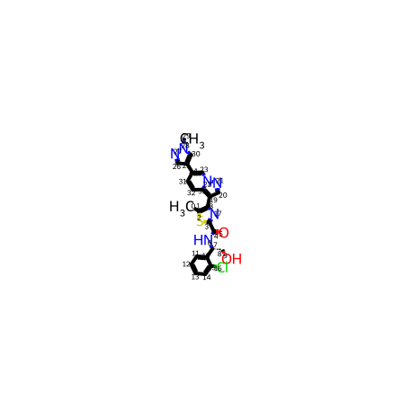 Cc1sc(C(=O)N[C@H](CO)c2ccccc2Cl)nc1-c1cnn2cc(-c3cnn(C)c3)ccc12